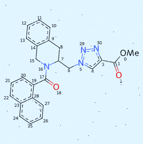 COC(=O)c1cn(CC2Cc3ccccc3CN2C(=O)c2cccc3ccccc23)nn1